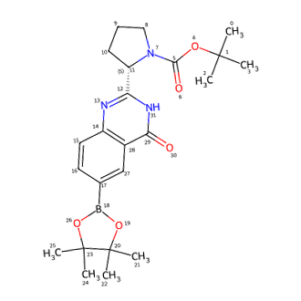 CC(C)(C)OC(=O)N1CCC[C@H]1c1nc2ccc(B3OC(C)(C)C(C)(C)O3)cc2c(=O)[nH]1